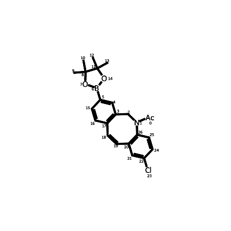 CC(=O)N1Cc2cc(B3OC(C)(C)C(C)(C)O3)ccc2C=Cc2cc(Cl)ccc21